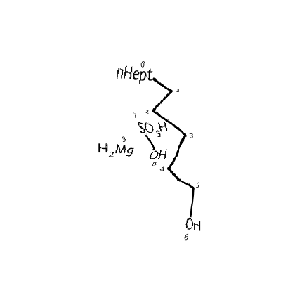 CCCCCCCCCCCCO.O=S(=O)(O)O.[MgH2]